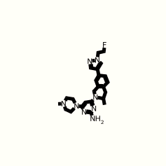 CC1Cc2ccc(-c3cnn(CCF)c3)cc2CN1c1cc(N2CCN(C)CC2)nc(N)n1